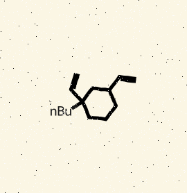 C=CC1CCCC(C=C)(CCCC)C1